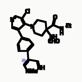 CCNC(=O)C1(NC=O)CCN(c2c(Cl)cncc2-c2ccc(/C(C=N)=C/NC)cc2)CC1